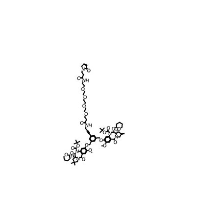 C=C1C[C@H]2C(OC3CCCCO3)N(C(=O)OC(C)(C)C)c3cc(OCc4cc(C#CCNC(=O)CCOCCOCCOCCOCCNC(=O)CCN5CC=CC5=O)cc(COc5cc6c(cc5OC)C(=O)N5CC(C)(C)C[C@H]5[C@H](OC5CCCCO5)N6C(=O)OC(C)(C)C)c4)c(OC)cc3C(=O)N2C1